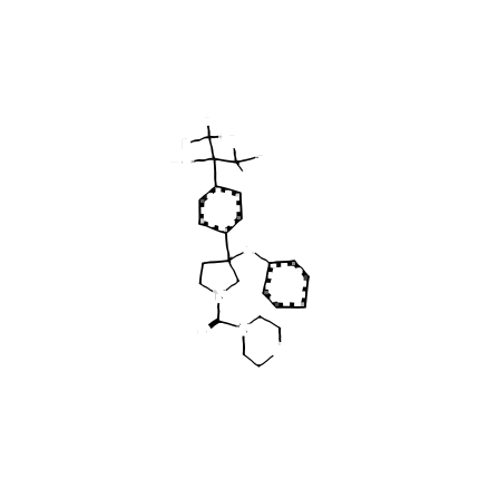 O=C(N1CCOCC1)N1CCC(Sc2ccccc2)(c2ccc(C(O)(C(F)(F)F)C(F)(F)F)cc2)C1